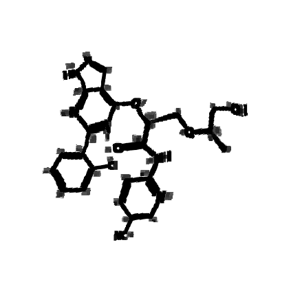 C[C@H](CO)OC[C@H](Oc1nc(-c2ccccc2Cl)nc2[nH]ncc12)C(=O)Nc1ccc(C#N)cn1